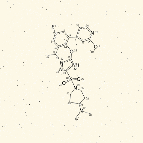 COc1cc(-c2cc(F)cc(C(C)C)c2Oc2nnc(S(=O)(=O)N3CCC(N(C)C)CC3)[nH]2)ccn1